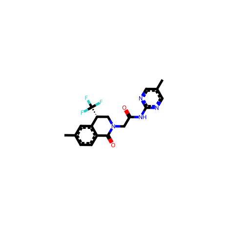 Cc1cnc(NC(=O)CN2C[C@@H](C(F)(F)F)c3cc(C)ccc3C2=O)nc1